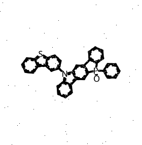 O=P1(c2ccccc2)c2ccccc2-c2cc3c(cc21)c1ccccc1n3-c1ccc2sc3ccccc3c2c1